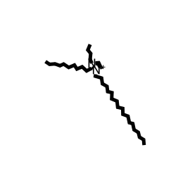 CCCCCCCCCCCCCCCCCCC[n+]1ccn(CCCC)c1CCCCCCCCCC